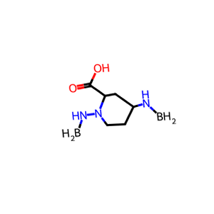 BNC1CCN(NB)C(C(=O)O)C1